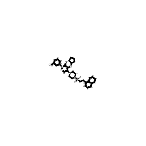 O=c1c(OC2CCCC2)c(N2CCN(S(=O)(=O)CCc3cccc4ccccc34)CC2)cnn1-c1cccc(Cl)c1